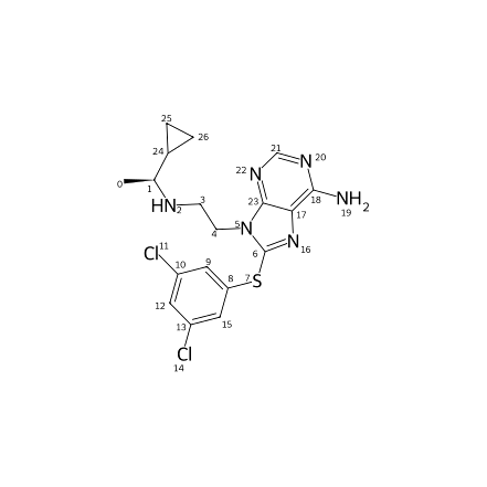 C[C@H](NCCn1c(Sc2cc(Cl)cc(Cl)c2)nc2c(N)ncnc21)C1CC1